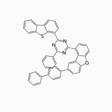 c1ccc(-c2ccc(-c3ccc4oc5cccc(-c6nc(-c7ccccc7)nc(-c7cccc8c7sc7ccccc78)n6)c5c4c3)cc2)cc1